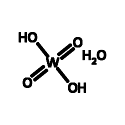 O.[O]=[W](=[O])([OH])[OH]